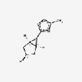 CC(C)[C@@H]1C[C@@H]2C(c3ncn(C)n3)[C@@H]2C1